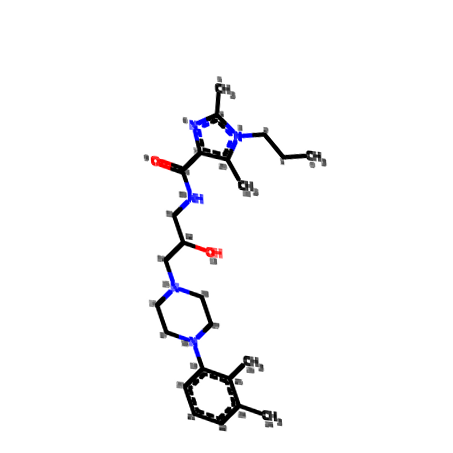 CCCn1c(C)nc(C(=O)NCC(O)CN2CCN(c3cccc(C)c3C)CC2)c1C